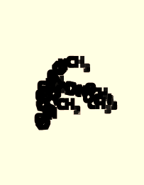 C=Cc1cc2c(N3CCC4(CC3)CN(C(=O)OC(C)(C)C)C4)nc(OC3CCN(CC)CC3)nc2c(OC)c1-c1c(Cl)ccc2c1cnn2C1CCCCO1